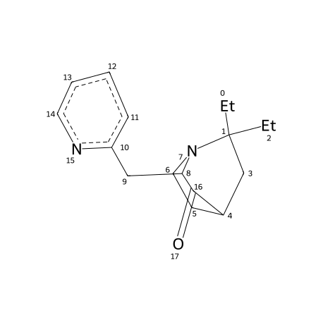 CCC1(CC)CC2CCN1C(Cc1ccccn1)C2=O